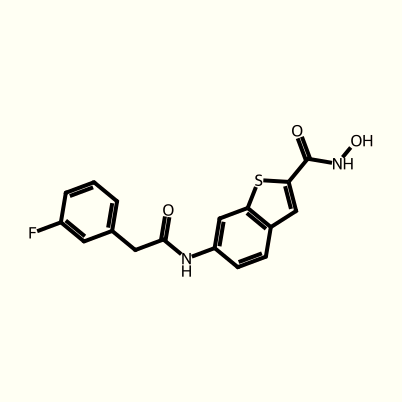 O=C(Cc1cccc(F)c1)Nc1ccc2cc(C(=O)NO)sc2c1